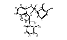 Cc1cccc(C(C)(C)Cc2cccc(O)c2CC(C)(C)c2cccc(C)c2C)c1C